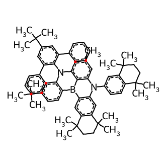 Cc1cc2c3c(c1)N(c1c(-c4ccccc4)cc(C(C)(C)C)cc1-c1ccccc1)c1cc(C(C)(C)C)ccc1B3c1cc3c(cc1N2c1ccc2c(c1)C(C)(C)CCC2(C)C)C(C)(C)CCC3(C)C